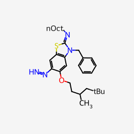 CCCCCCCC/N=c1\sc2cc(N=N)c(OCCC(C)CC(C)(C)C)cc2n1Cc1ccccc1